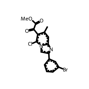 COC(=O)C(=O)c1c(C)cc2nc(-c3cccc(Br)c3)cn2c1Cl